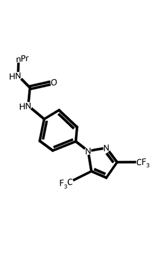 CCCNC(=O)Nc1ccc(-n2nc(C(F)(F)F)cc2C(F)(F)F)cc1